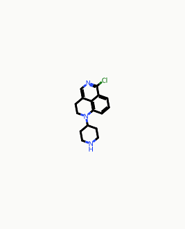 Clc1ncc2c3c(cccc13)N(C1CCNCC1)CC2